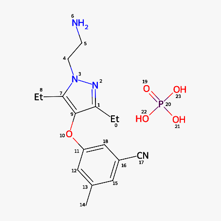 CCc1nn(CCN)c(CC)c1Oc1cc(C)cc(C#N)c1.O=P(O)(O)O